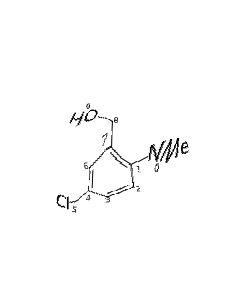 CNc1ccc(Cl)cc1CO